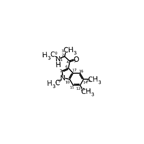 CNC(C)C(=O)c1cn(C)c2cc(C)c(C)cc12